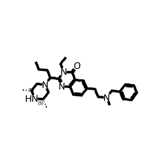 CCCC(c1nc2ccc(CCN(C)Cc3ccccc3)cc2c(=O)n1CC)N1C[C@@H](C)N[C@@H](C)C1